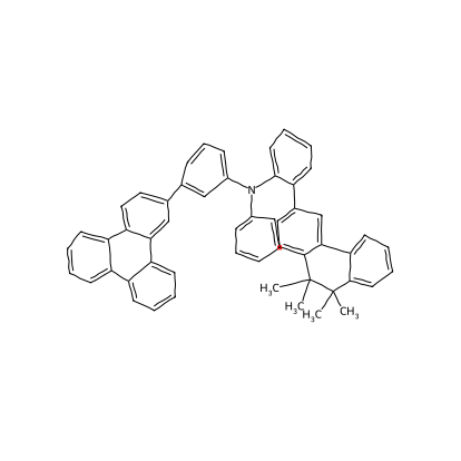 CC1(C)c2ccccc2-c2cc(-c3ccccc3N(c3ccccc3)c3cccc(-c4ccc5c6ccccc6c6ccccc6c5c4)c3)ccc2C1(C)C